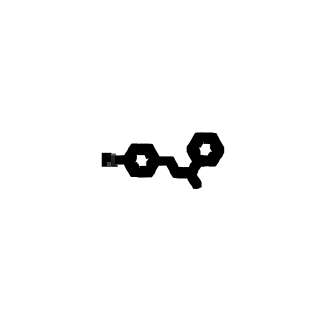 CCc1ccc(CC=C(C)c2ccccc2)cc1